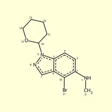 CNc1ccc2c(cnn2C2CCCCO2)c1Br